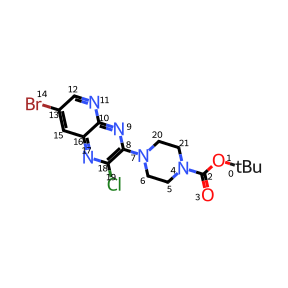 CC(C)(C)OC(=O)N1CCN(c2nc3ncc(Br)cc3nc2Cl)CC1